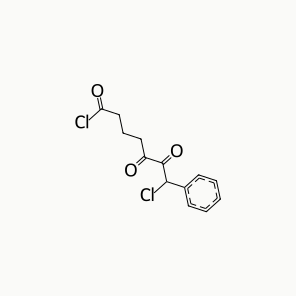 O=C(Cl)CCCC(=O)C(=O)C(Cl)c1ccccc1